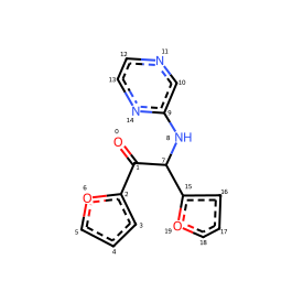 O=C(c1ccco1)C(Nc1cnccn1)c1ccco1